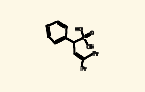 CC(C)C(=CC(c1ccccc1)P(=O)(O)O)C(C)C